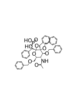 CC(=O)N[C@@H]1[C@@H](COCc2ccccc2)O[C@](Cc2ccccc2)(OP(=O)(O)O)[C@](Cc2ccccc2)(OCc2ccccc2)[C@H]1OCc1ccccc1